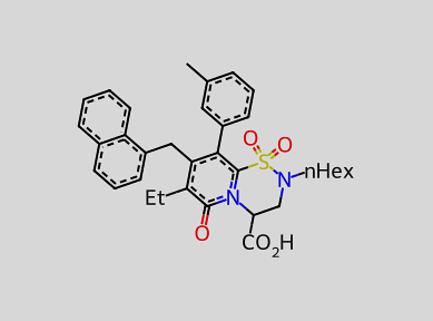 CCCCCCN1CC(C(=O)O)n2c(c(-c3cccc(C)c3)c(Cc3cccc4ccccc34)c(CC)c2=O)S1(=O)=O